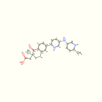 Cc1ccc(Nc2ccc(-c3ccc4c(c3)CCC(C)(CC(=O)O)C4=O)nc2)cn1